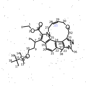 CCOC(=O)c1c(C(C)CCO[Si](C)(C)C(C)(C)C)c2ccc(C)c3c2n1C/C=C\COCc1nn(C)c(C)c1-3